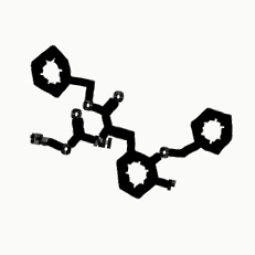 CC(C)(C)OC(=O)N/C(=C\c1cccc(F)c1OCc1ccccc1)C(=O)OCc1ccccc1